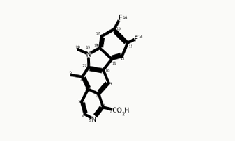 Cc1c2ccnc(C(=O)O)c2cc2c3cc(F)c(F)cc3n(C)c12